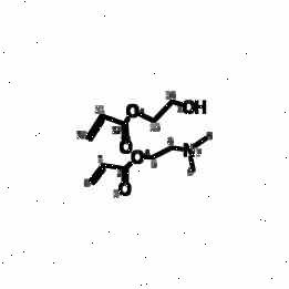 C=CC(=O)OCCN(C)C.C=CC(=O)OCCO